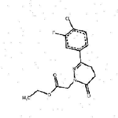 CCOC(=O)CN1N=C(c2ccc(Cl)c(F)c2)CCC1=O